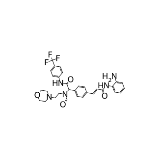 Nc1ccccc1NC(=O)/C=C/c1ccc(C(C(=O)Nc2ccc(C(F)(F)F)cc2)N(C=O)CCN2CCOCC2)cc1